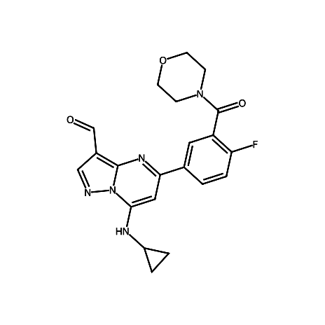 O=Cc1cnn2c(NC3CC3)cc(-c3ccc(F)c(C(=O)N4CCOCC4)c3)nc12